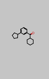 O=C(c1cccc(C2CCCC2)c1)C1CCCCC1